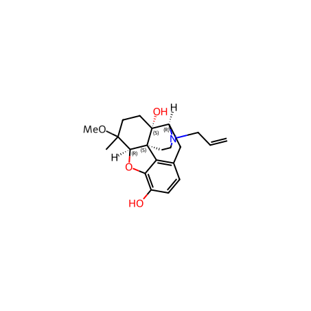 C=CCN1CC[C@]23c4c5ccc(O)c4O[C@H]2C(C)(OC)CC[C@@]3(O)[C@H]1C5